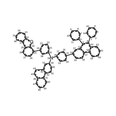 c1ccc(-c2c(-c3ccccc3)c3cc(-c4ccc(N(c5cccc(-c6cccc7c6oc6ccccc67)c5)c5ccc6c(ccc7ccccc76)c5)cc4)ccc3c3ccccc23)cc1